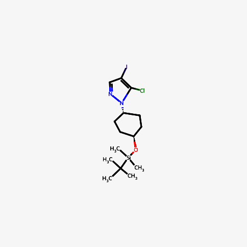 CC(C)(C)[Si](C)(C)O[C@H]1CC[C@H](n2ncc(I)c2Cl)CC1